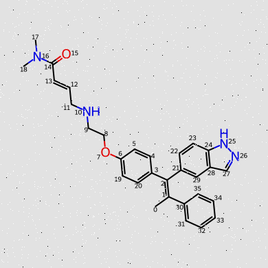 CC(=C(c1ccc(OCCNCC=CC(=O)N(C)C)cc1)c1ccc2[nH]ncc2c1)c1ccccc1